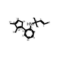 CC=CC(C)(C)Nc1ccccc1C1=C(C)C(C)=CC1